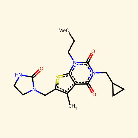 COCCn1c(=O)n(CC2CC2)c(=O)c2c(C)c(CN3CCNC3=O)sc21